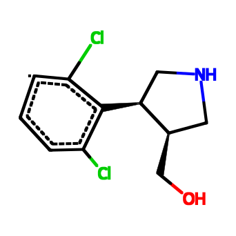 OC[C@@H]1CNC[C@@H]1c1c(Cl)[c]ccc1Cl